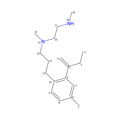 C=C(CC)c1cc(C)ccc1CCCN(C)CCNC